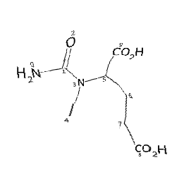 NC(=O)N(I)C(CCC(=O)O)C(=O)O